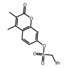 Cc1c(C)c2ccc(OS(=O)(=O)CC(C)C)cc2oc1=O